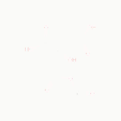 [O]=[V][O]C(=O)CC(O)(CC(=O)O)C(=O)O